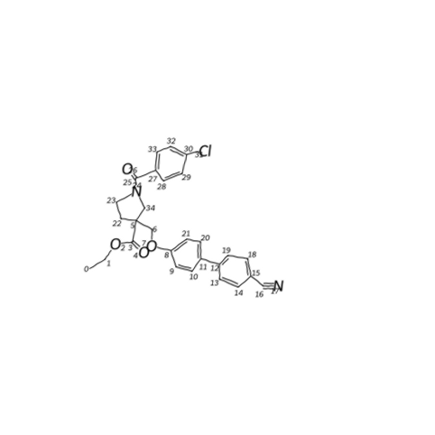 CCOC(=O)C1(COc2ccc(-c3ccc(C#N)cc3)cc2)CCN(C(=O)c2ccc(Cl)cc2)C1